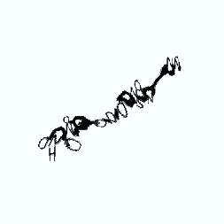 COc1cc(-c2ccc(N(C)C)nc2)cnc1-c1nc2ccc(OCCOCCOc3ccc4c(c3)CN(C3CCC(=O)NC3=O)C4=O)cc2s1